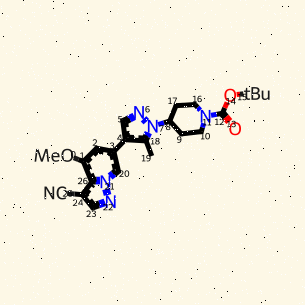 COc1cc(-c2cnn(C3CCN(C(=O)OC(C)(C)C)CC3)c2C)cn2ncc(C#N)c12